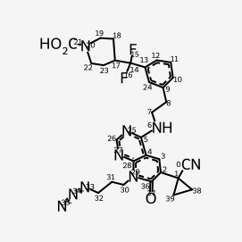 N#CC1(c2cc3c(NCCc4cccc(C(F)(F)C5CCN(C(=O)O)CC5)c4)ncnc3n(CCCN=[N+]=[N-])c2=O)CC1